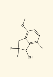 COc1ccc(I)c2c1CC(F)(F)C2O